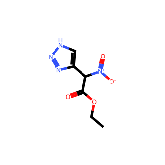 CCOC(=O)C(c1c[nH]nn1)[N+](=O)[O-]